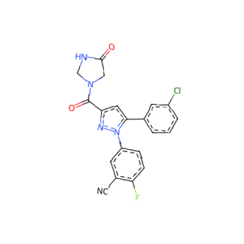 N#Cc1cc(-n2nc(C(=O)N3CNC(=O)C3)cc2-c2cccc(Cl)c2)ccc1F